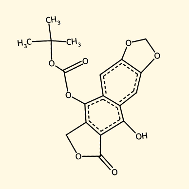 CC(C)(C)OC(=O)Oc1c2c(c(O)c3cc4c(cc13)OCO4)C(=O)OC2